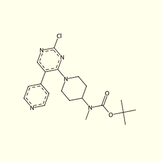 CN(C(=O)OC(C)(C)C)C1CCN(c2nc(Cl)ncc2-c2ccncc2)CC1